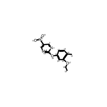 C=C(/N=C\C(=C/N)[N+](=O)[O-])Oc1ccc(C)c(OCC)c1